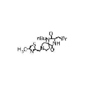 CCCCN1C(=O)C(CC(C)C)NC(=O)C12CCN(Cc1nc(C)cs1)CC2